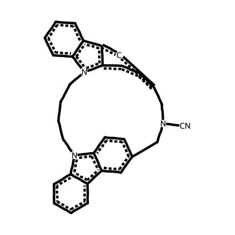 N#CN1Cc2ccc3c(c2)c2ccccc2n3CCCCn2c3ccccc3c3cc(ccc32)C1